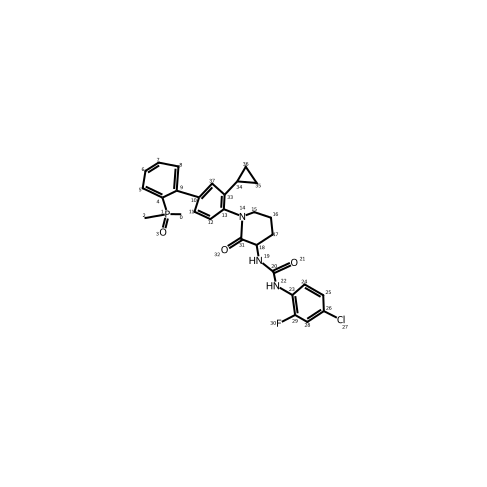 CP(C)(=O)c1ccccc1-c1ccc(N2CCCC(NC(=O)Nc3ccc(Cl)cc3F)C2=O)c(C2CC2)c1